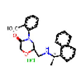 C[C@@H](NCC1CN(c2ccccc2C(=O)O)C(=O)CO1)c1cccc2ccccc12.Cl